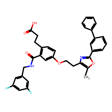 Cc1oc(-c2cccc(-c3ccccc3)c2)nc1CCOc1ccc(CCC(=O)O)c(C(=O)NCc2cc(F)cc(F)c2)c1